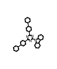 c1ccc(-c2ccc(-c3nc(-c4ccc(-c5ccccc5)cc4)nc(-n4c5ccccc5c5ccccc54)n3)cc2)cc1